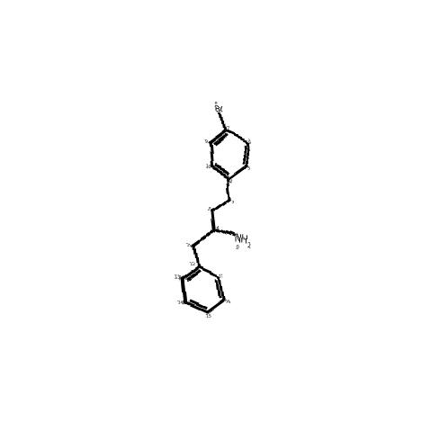 NC(CCc1ccc(Br)cc1)Cc1ccccc1